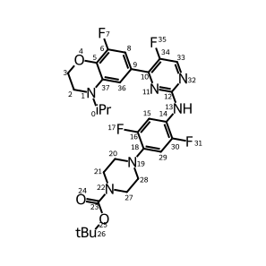 CC(C)N1CCOc2c(F)cc(-c3nc(Nc4cc(F)c(N5CCN(C(=O)OC(C)(C)C)CC5)cc4F)ncc3F)cc21